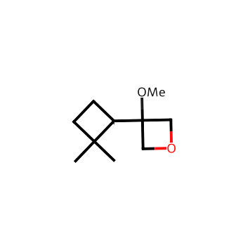 COC1([C]2CCC2(C)C)COC1